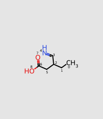 CCC(C=N)CC(=O)O